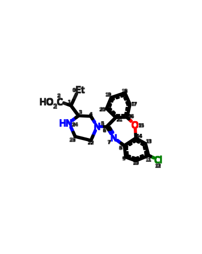 CCC(C(=O)O)C1CN(C2=Nc3ccc(Cl)cc3Oc3ccccc32)CCN1